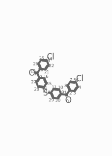 O=C(c1ccc(Cl)cc1)c1ccc(Sc2ccc(C(=O)c3ccc(Cl)cc3)cc2)cc1